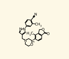 Cc1cc(-n2cc(CN3CCO[C@H](c4ccc5c(c4C)COC5=O)C3)cn2)ccc1C#N